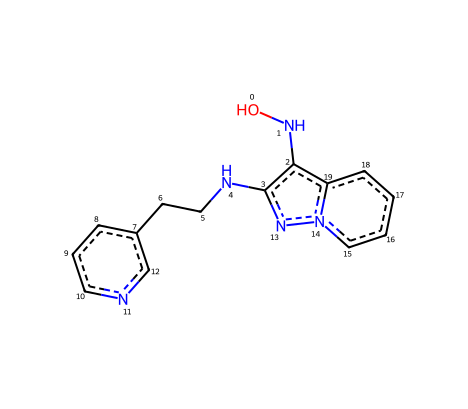 ONc1c(NCCc2cccnc2)nn2ccccc12